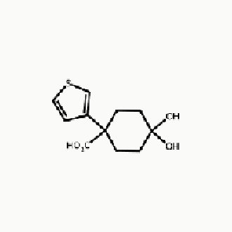 O=C(O)C1(c2ccsc2)CCC(O)(O)CC1